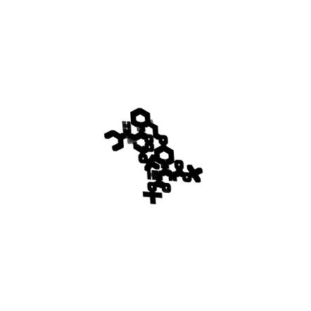 CCC(CC)N[C@@H](CC(=O)OC(C)(C)C)C(=O)N1CCCC[C@H]1CCOC1CCN(C(=NC(=O)OC(C)(C)C)NC(=O)OC(C)(C)C)CC1